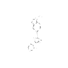 Cc1cnccc1-c1nc(-c2ccc3c(ccn3C(C)C)c2)no1